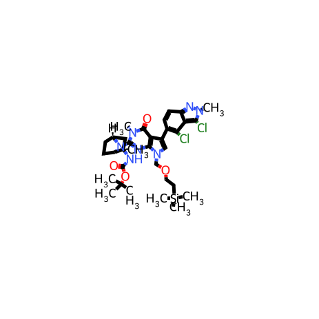 Cn1nc2ccc(-c3cn(COCC[Si](C)(C)C)c4nc(N5C6CC[C@H]5C[C@@]6(C)NC(=O)OC(C)(C)C)n(C)c(=O)c34)c(Cl)c2c1Cl